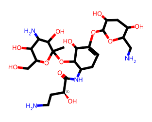 CC1(OC2C(NC(=O)[C@@H](O)CCN)CC=C(OC3OC(CN)C(O)CC3O)C2O)OC(CO)C(O)C(N)C1O